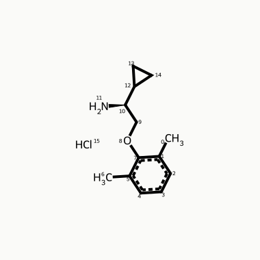 Cc1cccc(C)c1OC[C@@H](N)C1CC1.Cl